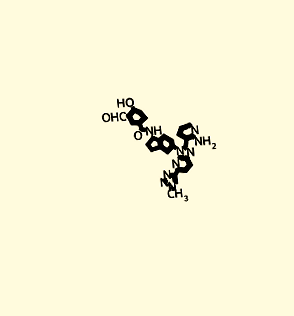 Cn1cc(-c2ccc3nc(-c4cccnc4N)n(-c4ccc5c(c4)CC[C@@H]5NC(=O)c4ccc(O)c(C=O)c4)c3n2)nn1